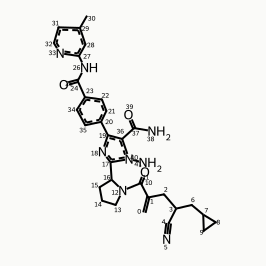 C=C(CC(C#N)CC1CC1)C(=O)N1CCCC1c1nc(-c2ccc(C(=O)Nc3cc(C)ccn3)cc2)c(C(N)=O)n1N